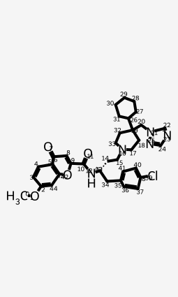 COc1ccc2c(=O)cc(C(=O)N[C@H](CCN3CCC(Cn4cncn4)(C4CCCCC4)CC3)Cc3ccc(Cl)cc3)oc2c1